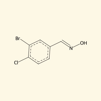 O/N=C/c1ccc(Cl)c(Br)c1